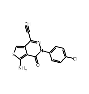 C#Cc1nn(-c2ccc(Cl)cc2)c(=O)c2c(N)scc12